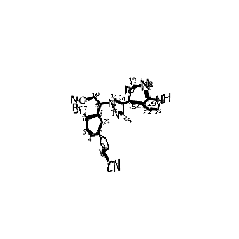 N#CCOc1ccc(Br)c(C(CC#N)n2cc(-c3ncnc4[nH]ccc34)cn2)c1